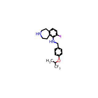 CC(Oc1ccc(CNc2c(I)ccc3c2CCNCC3)cc1)C(F)(F)F